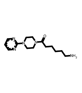 NCCCCCC(=O)N1CCN(c2ncccn2)CC1